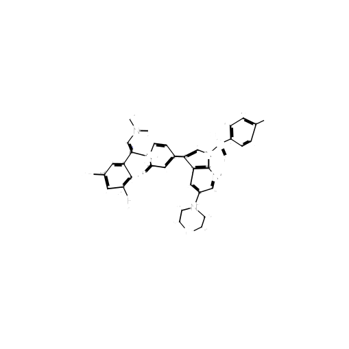 Cc1ccc(S(=O)(=O)n2cc(-c3ccn(/C(=C\N(C)C)c4cc(F)cc(F)c4)c(=O)c3)c3cc(N4CCOCC4)cnc32)cc1